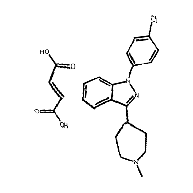 CN1CCC(c2nn(-c3ccc(Cl)cc3)c3ccccc23)CC1.O=C(O)C=CC(=O)O